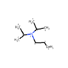 CC(C)N(C[CH2][GeH3])C(C)C